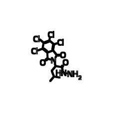 CC(C)CC(C(=O)NN)N1C(=O)c2c(Cl)c(Cl)c(Cl)c(Cl)c2C1=O